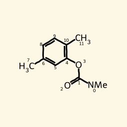 CNC(=O)Oc1cc(C)ccc1C